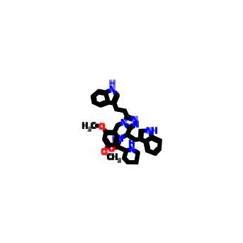 COc1ccc(Cn2c(CCc3c[nH]c4ccccc34)nnc2C(Cc2c[nH]c3ccccc23)NC(=O)C2CCCCN2)c(OC)c1